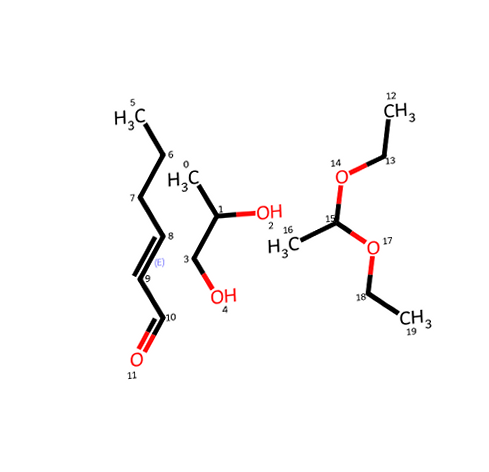 CC(O)CO.CCC/C=C/C=O.CCOC(C)OCC